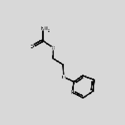 NC(=O)OCCOc1ccccn1